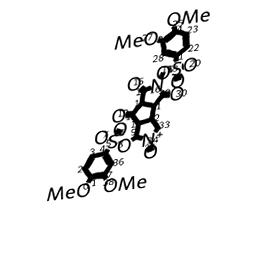 COc1ccc(S(=O)(=O)OC2C3C(=O)C4C(=O)N(OS(=O)(=O)c5ccc(OC)c(OC)c5)C(=O)C4C3C[N+]2=O)cc1OC